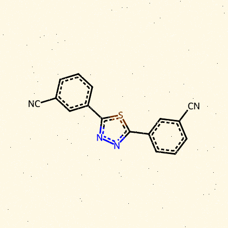 N#Cc1cccc(-c2nnc(-c3cccc(C#N)c3)s2)c1